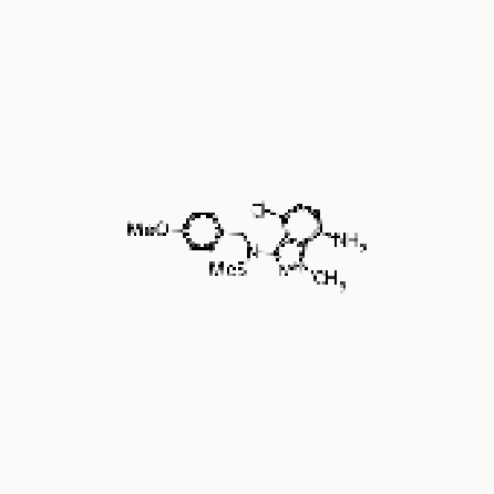 COc1ccc(CN(SC)c2nn(C)c3c(N)ccc(Cl)c23)cc1